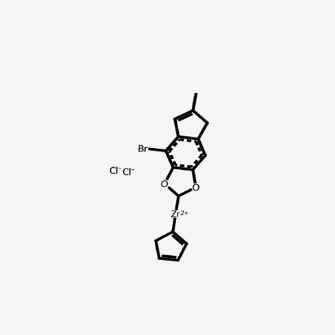 CC1=Cc2c(cc3c(c2Br)O[CH]([Zr+2][C]2=CC=CC2)O3)C1.[Cl-].[Cl-]